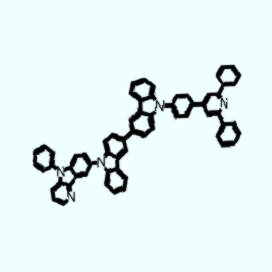 c1ccc(-c2cc(-c3ccc(-n4c5ccccc5c5cc(-c6ccc7c(c6)c6ccccc6n7-c6ccc7c(c6)c6ncccc6n7-c6ccccc6)ccc54)cc3)cc(-c3ccccc3)n2)cc1